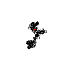 CCN1CCN(C(=O)N[C@H](C(=O)N[C@@H]2C(=O)N3C(C(=O)OC(c4ccccc4)c4ccccc4)=C(COC(N)=O)CS[C@H]23)c2ccc(NC(=O)OCC(NC(=O)OC(C)(C)C)C(=O)OC(c3ccccc3)c3ccccc3)cc2)C(=O)C1=O